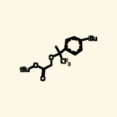 CCC(C)c1ccc(C(C)(OCC(=O)OC(C)(C)C)C(F)(F)F)cc1